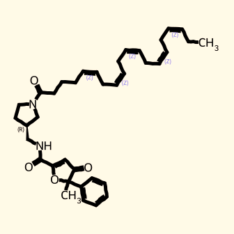 CC/C=C\C/C=C\C/C=C\C/C=C\C/C=C\CCCC(=O)N1CC[C@H](CNC(=O)C2=CC(=O)C(C)(c3ccccc3)O2)C1